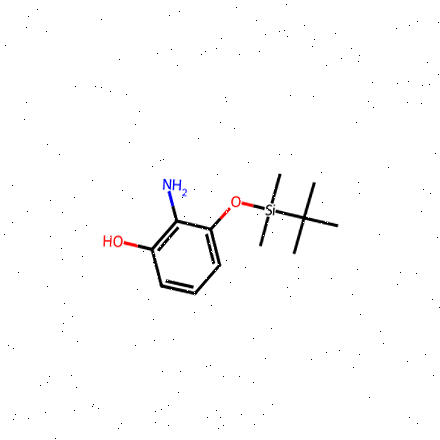 CC(C)(C)[Si](C)(C)Oc1cccc(O)c1N